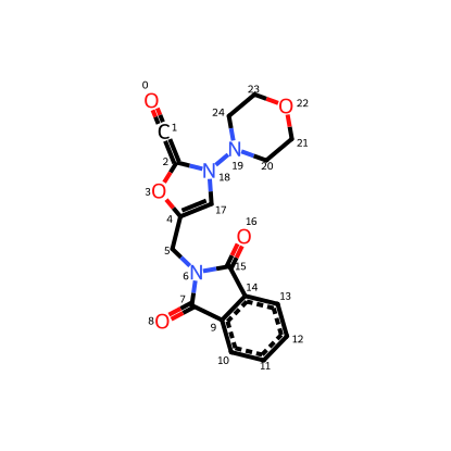 O=C=C1OC(CN2C(=O)c3ccccc3C2=O)=CN1N1CCOCC1